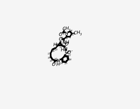 CC(=O)N1C[C@@H](C)CC1C(=O)N[C@@]12C[C@H]1/C=C/CCCC(=O)Nc1ccccc1[S+]([O-])NC2=O